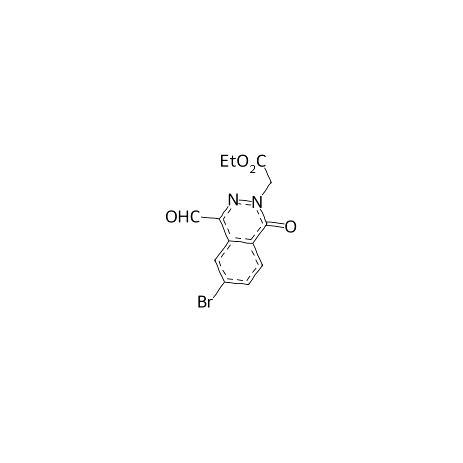 CCOC(=O)Cn1nc(C=O)c2cc(Br)ccc2c1=O